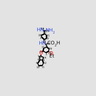 CCOc1cc(OC2Cc3ccccc3C2)cc([C@@H](Nc2ccc(C(=N)N)cc2)C(=O)O)c1